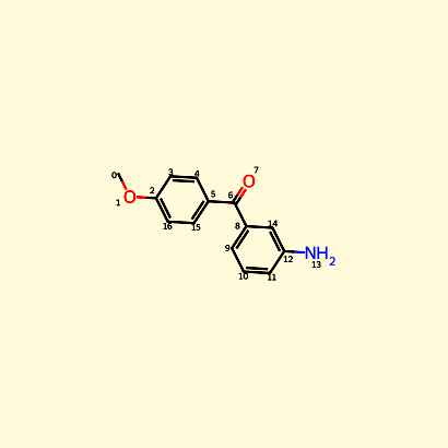 COc1ccc(C(=O)c2cccc(N)c2)cc1